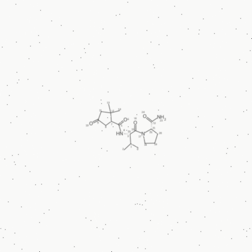 CC(C)[C@H](NC(=O)C1CC(=O)CC1(C)C)C(=O)N1CCC[C@H]1C(N)=O